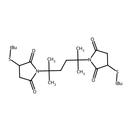 CC(C)(C)SC1CC(=O)N(C(C)(C)CCC(C)(C)N2C(=O)CC(SC(C)(C)C)C2=O)C1=O